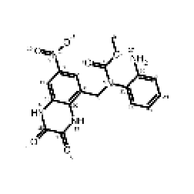 COC(=O)N(Cc1cc([N+](=O)[O-])cc2[nH]c(=O)c(=O)[nH]c12)c1ccccc1N